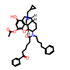 CC(=O)Oc1cc(O)c2c3c1O[C@H]1[C@H](N(CCCCc4ccccc4)C(=O)CCCCC(=O)c4ccccc4)CC[C@H]4[C@@H](C2)N(CC2CC2)CC[C@@]341